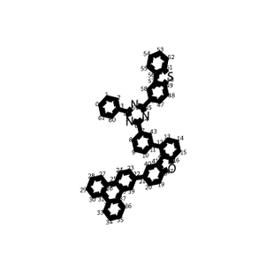 c1ccc(-c2nc(-c3cccc(-c4cccc5oc6ccc(-c7ccc8c9ccccc9c9ccccc9c8c7)cc6c45)c3)nc(-c3ccc4sc5ccccc5c4c3)n2)cc1